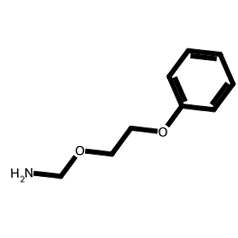 NCOCCOc1ccccc1